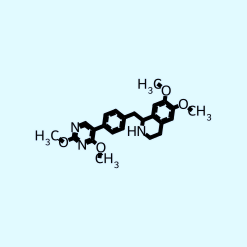 COc1ncc(-c2ccc(CC3NCCc4cc(OC)c(OC)cc43)cc2)c(OC)n1